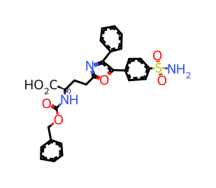 NS(=O)(=O)c1ccc(-c2oc(CC[C@@H](NC(=O)OCc3ccccc3)C(=O)O)nc2-c2ccccc2)cc1